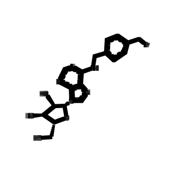 OC[C@H]1O[C@@H](n2cnc3c(NCc4ccc(CBr)cc4)ncnc32)[C@H](O)[C@@H]1O